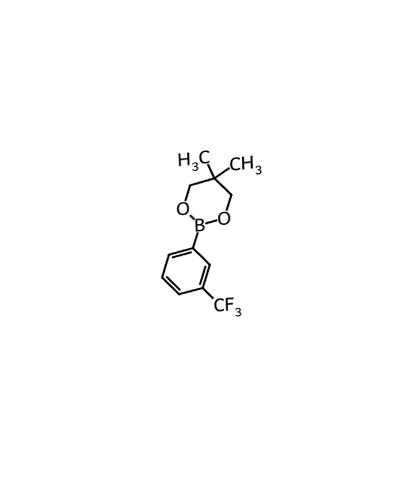 CC1(C)COB(c2cccc(C(F)(F)F)c2)OC1